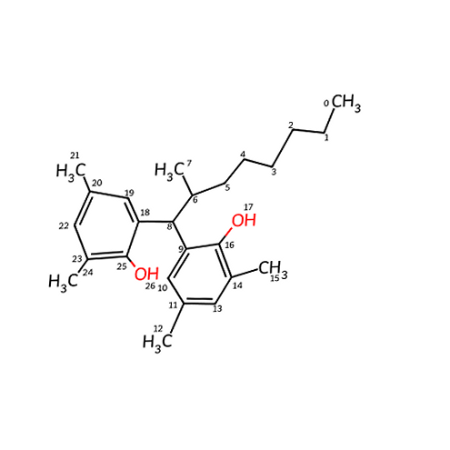 CCCCCCC(C)C(c1cc(C)cc(C)c1O)c1cc(C)cc(C)c1O